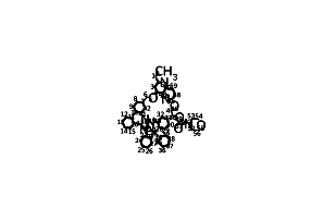 CCc1cc(OCc2ccc(-c3ccccc3-c3nnn(C(c4ccccc4)(c4ccccc4)c4ccccc4)n3)cc2)c2nc(OCCOC(=O)N3CCOCC3)ccc2n1